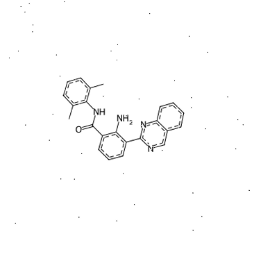 Cc1cccc(C)c1NC(=O)c1cccc(-c2ncc3ccccc3n2)c1N